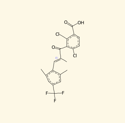 C/C(=C\c1c(C)cc(C(F)(F)F)cc1C)C(=O)c1c(Cl)ccc(C(=O)O)c1Cl